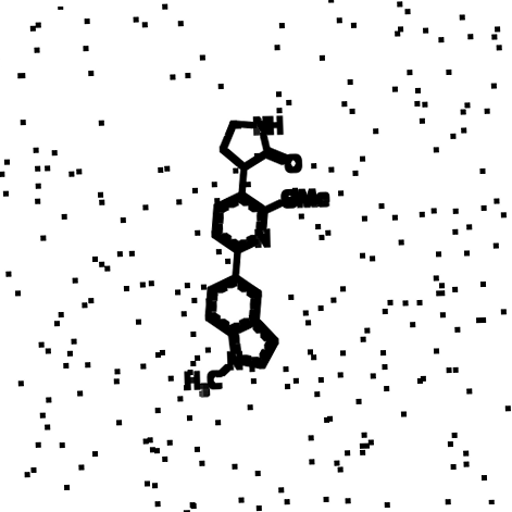 COc1nc(-c2ccc3c(ccn3C)c2)ccc1C1CCNC1=O